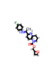 CC(Nc1ccc(F)cc1)c1ccc2c(n1)CCCN2C(=O)OCC1CCO1